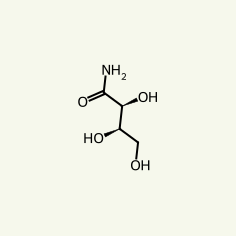 NC(=O)[C@@H](O)[C@H](O)CO